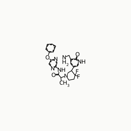 CC(C(=O)Nc1cnc(Oc2ccccc2)cn1)N1CCC(F)(F)C(c2c[nH]c(=O)c(CN)c2)C1